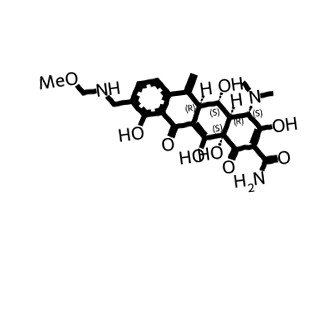 C=C1c2ccc(CNCOC)c(O)c2C(=O)C2=C(O)[C@]3(O)C(=O)C(C(N)=O)=C(O)[C@@H](N(C)C)[C@@H]3[C@@H](O)[C@H]12